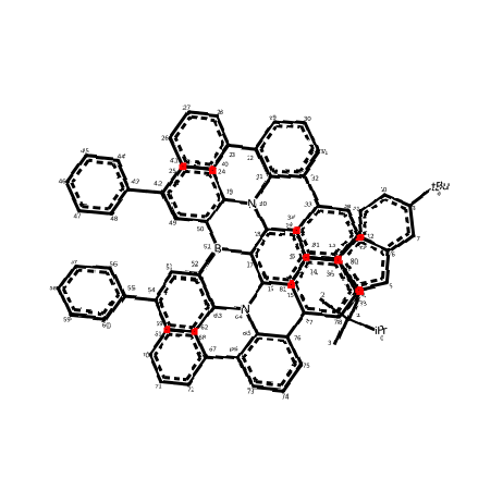 CC(C)C(C)(C)c1cc2cc(C(C)(C)C)ccc2n1-c1cc2c3c(c1)N(c1c(-c4ccccc4)cccc1-c1ccccc1)c1ccc(-c4ccccc4)cc1B3c1cc(-c3ccccc3)ccc1N2c1c(-c2ccccc2)cccc1-c1ccccc1